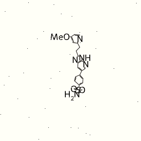 COc1ccnc(CCc2nc3cc(-c4ccc(S(N)(=O)=O)cc4)cnc3[nH]2)c1